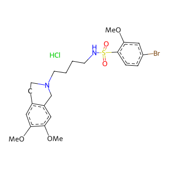 COc1cc2c(cc1OC)CN(CCCCNS(=O)(=O)c1ccc(Br)cc1OC)CC2.Cl